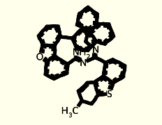 CC1C=Cc2c(sc3cccc(C(=N/Cc4ccccc4)/N=C(\N)c4cccc5oc6cccc(-c7ccc8ccccc8c7)c6c45)c23)C1